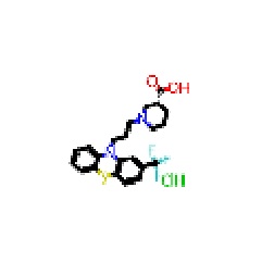 Cl.O=C(O)[C@@H]1CCCN(CCCN2c3ccccc3Sc3ccc(C(F)(F)F)cc32)C1